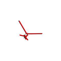 CCCCCCCCCCCCCCCCCCCCCCCCCCCCC[CH2][Ni][CH2]CCCCCCCCCCCCCCCCCCCCCCCCCCCCC.CCCCCCCCc1cccc(C2=C(CCCCC)C=C(c3cccc(CCCC)c3)[N+]2=[N-])c1